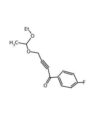 CCOC(C)OCC#CC(=O)c1ccc(F)cc1